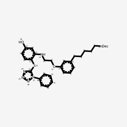 CCCCCCCCCCCCCCCc1cccc(OCCNc2cc(O)ccc2Sc2nnnn2-c2ccccc2)c1